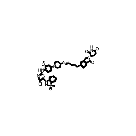 COc1cc(N2CCC(NCCCCCc3ccc4c(c3)CN(C3CCC(=O)NC3=O)C4=O)CC2)ccc1Nc1ncc(Cl)c(Nc2ccccc2P(C)(C)=O)n1